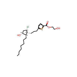 CCCCCCCC[C@@H]1[C@@H](CCCc2ccc(C(=O)OCCO)s2)[C@@H](Cl)C[C@H]1O